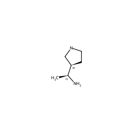 C[C@H](N)[C@@H]1CC[N]C1